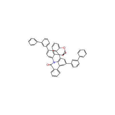 O=c1c2ccccc2c2cc(-c3cccc(-c4ccccc4)c3)cc3c2n1-c1ccc(-c2cccc(-c4ccccc4)c2)cc1C31c2ccccc2Oc2ccccc21